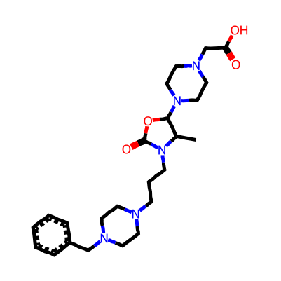 CC1C(N2CCN(CC(=O)O)CC2)OC(=O)N1CCCN1CCN(Cc2ccccc2)CC1